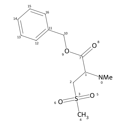 CNC(CS(C)(=O)=O)C(=O)OCc1ccccc1